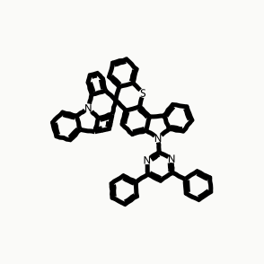 c1ccc(-c2cc(-c3ccccc3)nc(-n3c4ccccc4c4c5c(ccc43)C3(c4ccccc4S5)c4ccccc4-n4c5ccccc5c5cccc3c54)n2)cc1